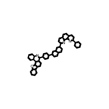 C1=CC2N=C(c3ccc(-c4ccc5ccc(-c6ccc7ccc8ccc(-c9ccccc9)nc8c7n6)cc5c4)cc3)c3ccc4c(oc5ccccc54)c3C2C=C1